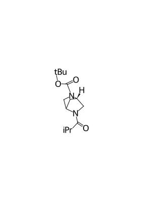 CC(C)C(=O)N1C[C@@H]2CC1CN2C(=O)OC(C)(C)C